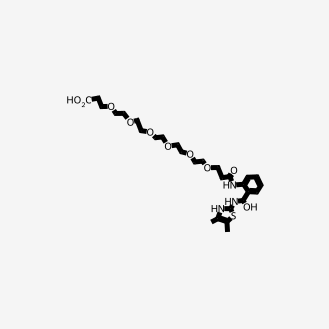 CC1=C(C)SC(NC(O)c2ccccc2NC(=O)CCOCCOCCOCCOCCOCCOCCC(=O)O)N1